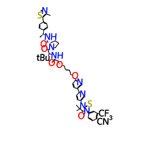 Cc1ncsc1-c1ccc([C@H](C)NC(=O)[C@@H]2CCCN2C(=O)C(NC(=O)COCCCCOc2ccc(-c3ccc(N4C(=S)N(c5ccc(C#N)c(C(F)(F)F)c5)C(=O)C4(C)C)cn3)cn2)C(C)(C)C)cc1